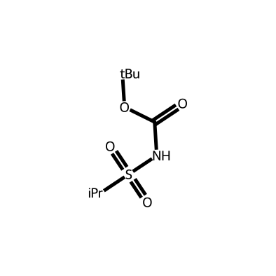 CC(C)S(=O)(=O)NC(=O)OC(C)(C)C